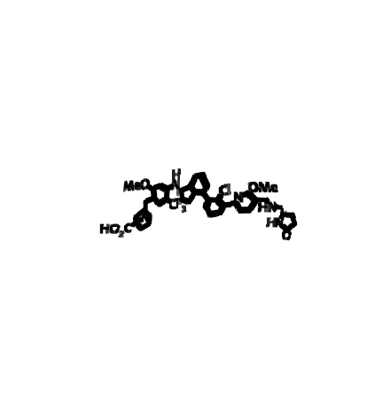 COc1cc(N[C@H]2CCc3c(-c4cccc(-c5ccc(CNC[C@@H]6CCC(=O)N6)c(OC)n5)c4Cl)cccc32)c(C(F)(F)F)cc1CN1CC2(C(=O)O)CCC1CC2